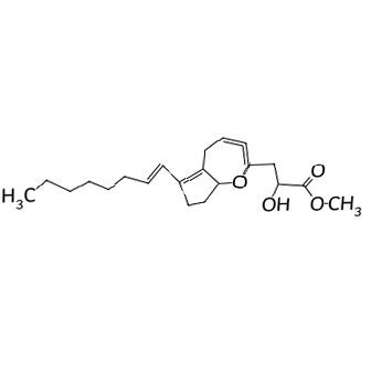 CCCCCCC=CC1=C2CC=C=C(CC(O)C(=O)OC)OC2CC1